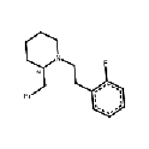 Fc1ccccc1CCN1CCCC[C@@H]1CBr